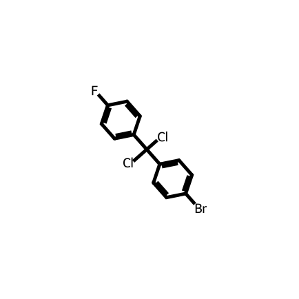 Fc1ccc(C(Cl)(Cl)c2ccc(Br)cc2)cc1